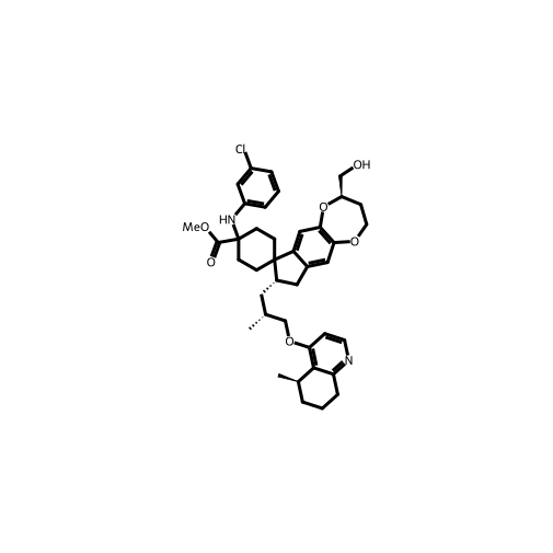 COC(=O)C1(Nc2cccc(Cl)c2)CCC2(CC1)c1cc3c(cc1C[C@@H]2C[C@@H](C)COc1ccnc2c1[C@H](C)CCC2)OCC[C@H](CO)O3